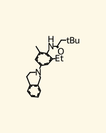 CCc1cc(N2CCc3ccccc3C2)cc(C)c1NC(=O)CC(C)(C)C